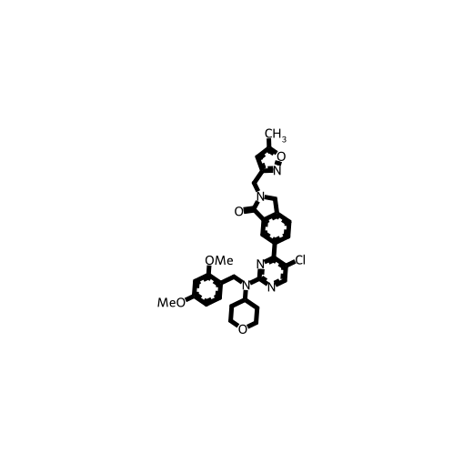 COc1ccc(CN(c2ncc(Cl)c(-c3ccc4c(c3)C(=O)N(Cc3cc(C)on3)C4)n2)C2CCOCC2)c(OC)c1